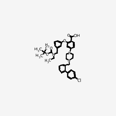 CCN(Cc1cccc(Oc2cc(N3CCN(Cc4ccccc4-c4ccc(Cl)cc4)CC3)ccc2C(=O)O)c1)C(=O)OC(C)(C)C